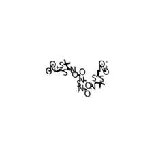 CN(SN(C)C(=O)ON=C1SC(=C[N+](=O)[O-])SC1(C)C)C(=O)ON=C1SC(=C[N+](=O)[O-])SC1(C)C